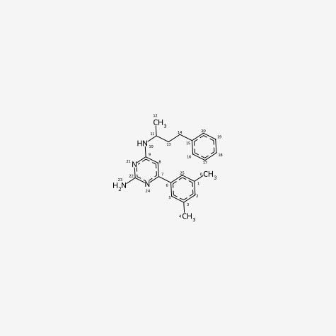 Cc1cc(C)cc(-c2cc(NC(C)CCc3ccccc3)nc(N)n2)c1